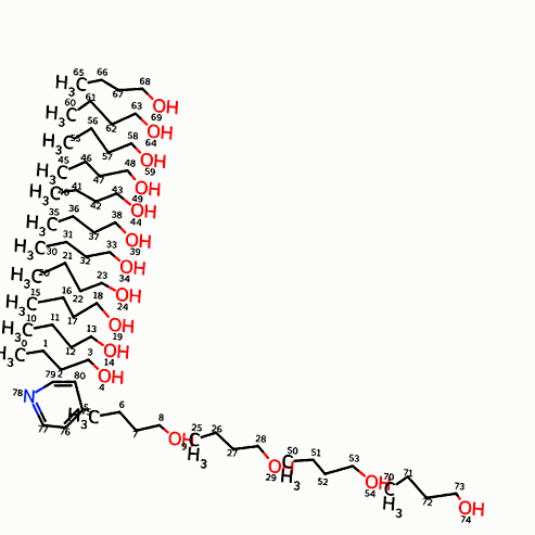 CCCCO.CCCCO.CCCCO.CCCCO.CCCCO.CCCCO.CCCCO.CCCCO.CCCCO.CCCCO.CCCCO.CCCCO.CCCCO.CCCCO.CCCCO.c1ccncc1